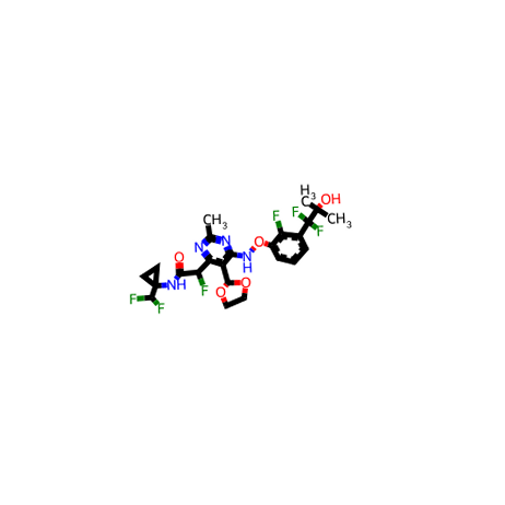 Cc1nc(NOc2cccc(C(F)(F)C(C)(C)O)c2F)c(C2OCCO2)c(C(F)C(=O)NC2(C(F)F)CC2)n1